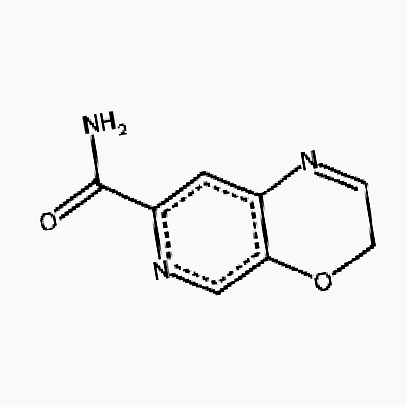 NC(=O)c1cc2c(cn1)OCC=N2